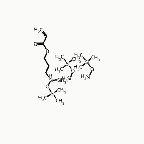 C=CC(=O)OCCC[SiH]([SiH3])O[Si](C)(C)C.C[Si](C)(C)O[SiH3].C[Si](C)(C)O[SiH3]